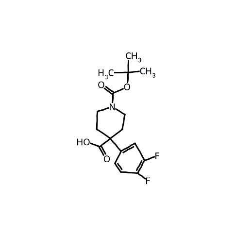 CC(C)(C)OC(=O)N1CCC(C(=O)O)(c2ccc(F)c(F)c2)CC1